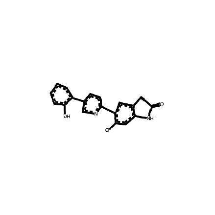 O=C1Cc2cc(-c3ccc(-c4ccccc4O)cn3)c(Cl)cc2N1